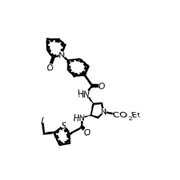 CCOC(=O)N1C[C@H](NC(=O)c2ccc(-n3ccccc3=O)cc2)[C@H](NC(=O)c2ccc(CI)s2)C1